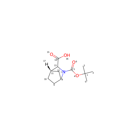 CC(C)(C)OC(=O)N1C2CC[C@@H](C2)C1C(=O)O